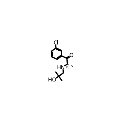 C[C@H](NCC(C)(C)O)C(=O)c1cccc(Cl)c1